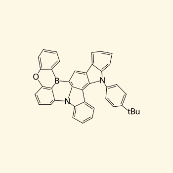 CC(C)(C)c1ccc(-n2c3ccccc3c3cc4c5c(c6ccccc6n5-c5cccc6c5B4c4ccccc4O6)c32)cc1